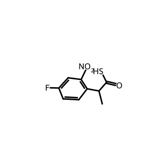 CC(C(=O)S)c1ccc(F)cc1[N+](=O)[O-]